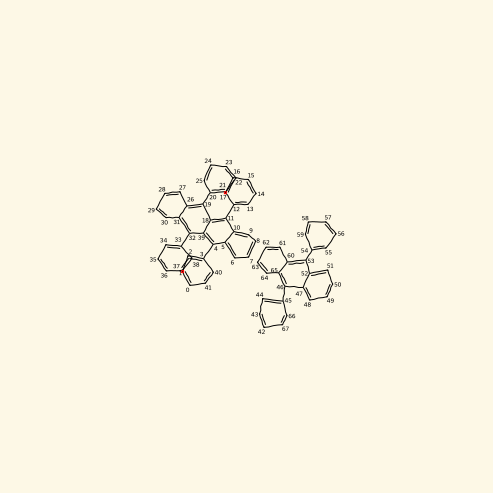 c1ccc(-c2c3ccccc3c(-c3ccccc3)c3c(-c4ccccc4)c4ccccc4c(-c4ccccc4)c23)cc1.c1ccc(-c2c3ccccc3c(-c3ccccc3)c3ccccc23)cc1